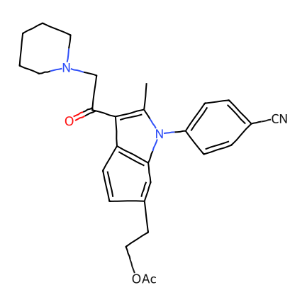 CC(=O)OCCc1ccc2c(C(=O)CN3CCCCC3)c(C)n(-c3ccc(C#N)cc3)c2c1